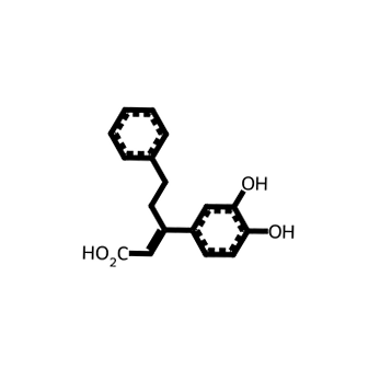 O=C(O)/C=C(\CCc1ccccc1)c1ccc(O)c(O)c1